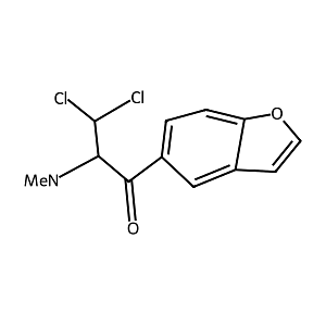 CNC(C(=O)c1ccc2occc2c1)C(Cl)Cl